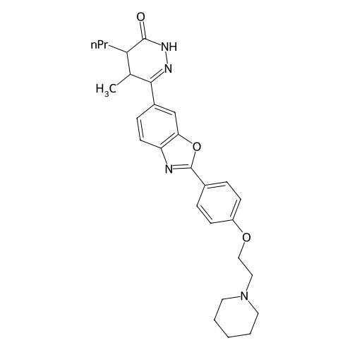 CCCC1C(=O)NN=C(c2ccc3nc(-c4ccc(OCCN5CCCCC5)cc4)oc3c2)C1C